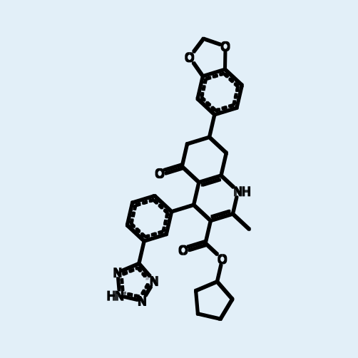 CC1=C(C(=O)OC2CCCC2)C(c2cccc(-c3nn[nH]n3)c2)C2=C(CC(c3ccc4c(c3)OCO4)CC2=O)N1